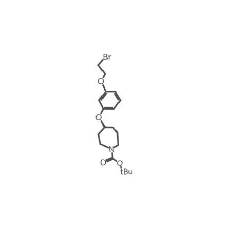 CC(C)(C)OC(=O)N1CCCC(Oc2cccc(OCCBr)c2)CC1